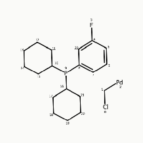 Cl[CH2][Pd].Fc1cccc(P(C2CCCCC2)C2CCCCC2)c1